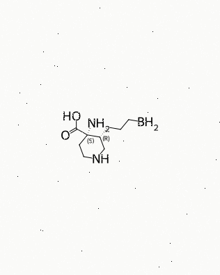 BCCC[C@@H]1CNCC[C@@]1(N)C(=O)O